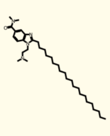 CCCCCCCCCCCCCCCCCCCCCc1nc2cc(C(=O)N(C)C)ccc2n1CCN(C)C